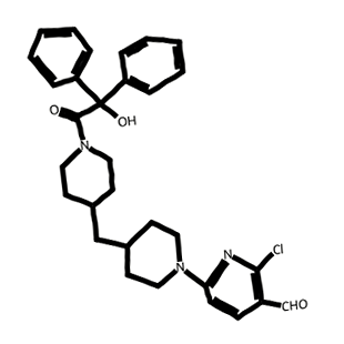 O=Cc1ccc(N2CCC(CC3CCN(C(=O)C(O)(c4ccccc4)c4ccccc4)CC3)CC2)nc1Cl